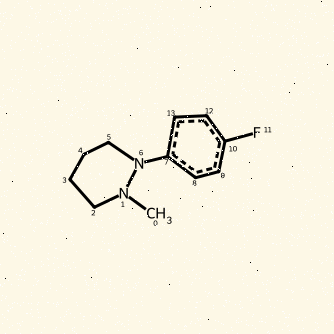 CN1CCCCN1c1ccc(F)cc1